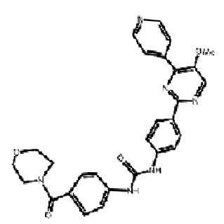 COc1cnc(-c2ccc(NC(=O)Nc3ccc(C(=O)N4CCOCC4)cc3)cc2)nc1-c1ccncc1